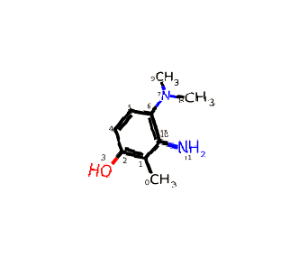 Cc1c(O)ccc(N(C)C)c1N